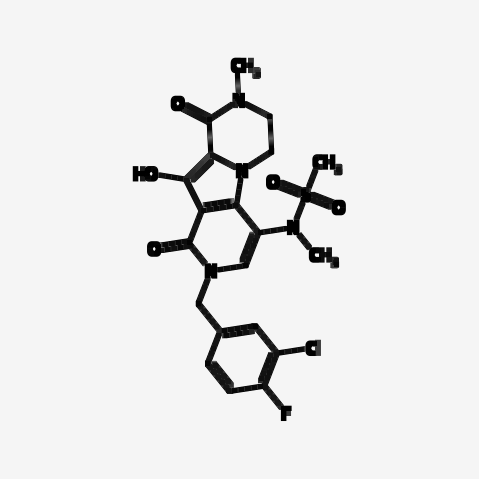 CN1CCn2c(c(O)c3c(=O)n(Cc4ccc(F)c(Cl)c4)cc(N(C)S(C)(=O)=O)c32)C1=O